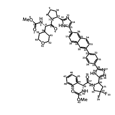 COC(=O)N[C@H](C(=O)N1CCC[C@H]1c1ncc(-c2ccc3cc(-c4ccc(-c5nnc(C6CC(F)(F)CN6C(=O)[C@H](NC(=O)OC)c6ccccc6)[nH]5)cc4)ccc3c2)[nH]1)C1CCOCC1